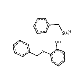 O=S(=O)(O)Cc1ccccc1.Oc1ccccc1SCc1ccccc1